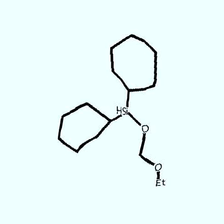 CCOCO[SiH](C1CCCCC1)C1CCCCC1